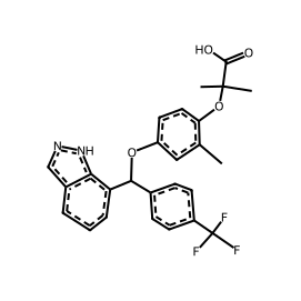 Cc1cc(OC(c2ccc(C(F)(F)F)cc2)c2cccc3cn[nH]c23)ccc1OC(C)(C)C(=O)O